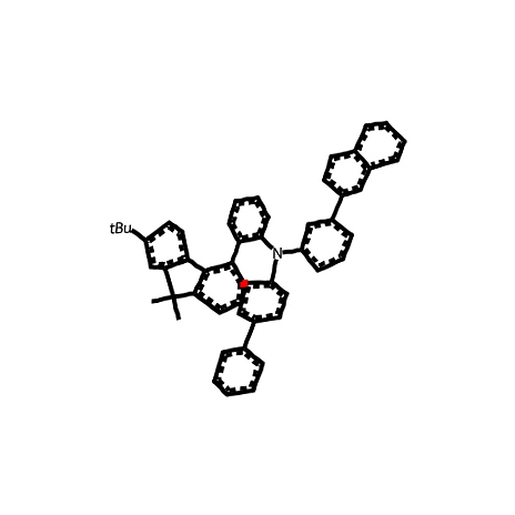 CC(C)(C)c1ccc2c(c1)C(C)(C)c1cccc(-c3ccccc3N(c3ccc(-c4ccccc4)cc3)c3cccc(-c4ccc5ccccc5c4)c3)c1-2